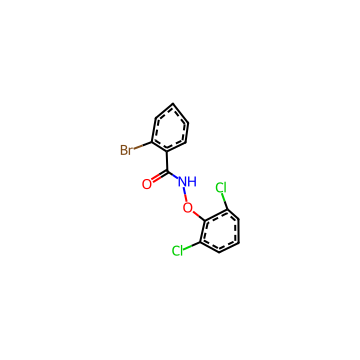 O=C(NOc1c(Cl)cccc1Cl)c1ccccc1Br